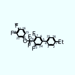 CCc1ccc(-c2cc(F)c(C(F)(F)Oc3ccc(F)c(F)c3)c(F)c2)cc1